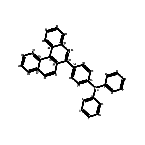 c1ccc(P(c2ccccc2)c2ccc(-c3nc4ccccc4c4c3ccc3cccnc34)cc2)cc1